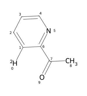 [2H]c1cccnc1C(C)=O